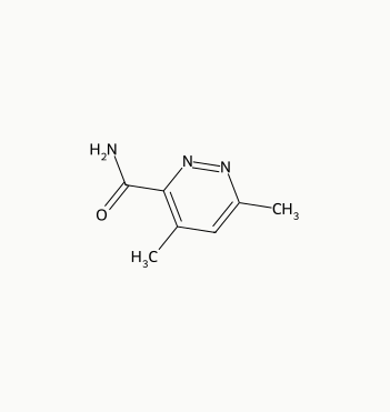 Cc1cc(C)c(C(N)=O)nn1